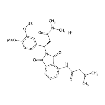 CCOc1cc([C@@H](CC(=O)N(C)C)N2C(=O)c3cccc(NC(=O)CN(C)C)c3C2=O)ccc1OC.[H+]